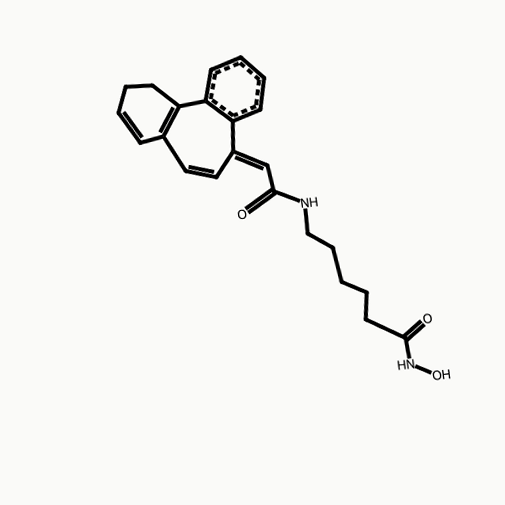 O=C(C=C1C=CC2=C(CCC=C2)c2ccccc21)NCCCCCC(=O)NO